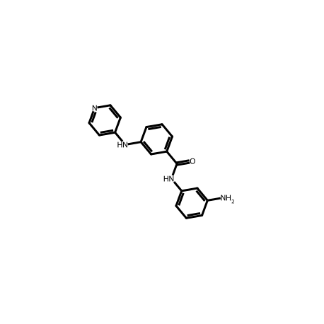 Nc1cccc(NC(=O)c2cccc(Nc3ccncc3)c2)c1